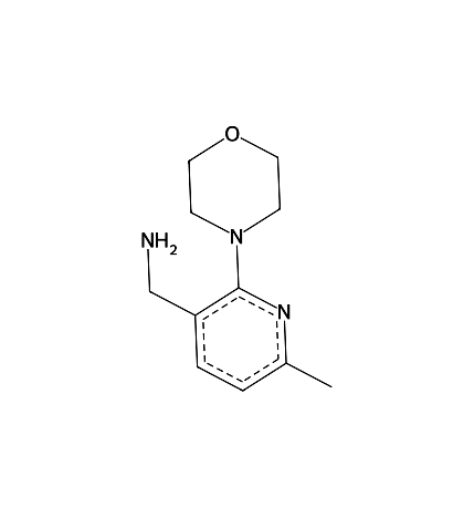 Cc1ccc(CN)c(N2CCOCC2)n1